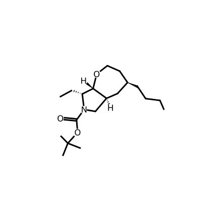 CCCC[C@@H]1CCO[C@@H]2[C@@H](C1)CN(C(=O)OC(C)(C)C)[C@@H]2CC